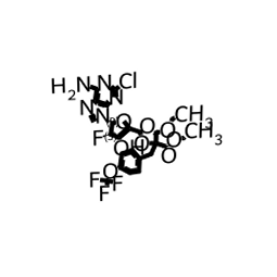 CCOC(=O)C(Cc1ccc(OC(F)(F)F)cc1)(OCC1=C(O)[C@H](F)[C@H](n2cnc3c(N)nc(Cl)nc32)O1)C(=O)OCC